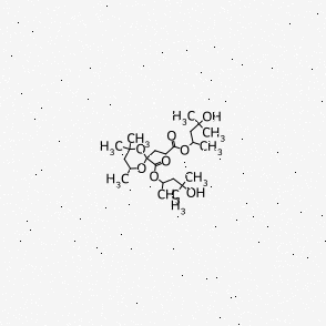 CC(CC(C)(C)O)OC(=O)CCC1(C(=O)OC(C)CC(C)(C)O)OC(C)CC(C)(C)O1